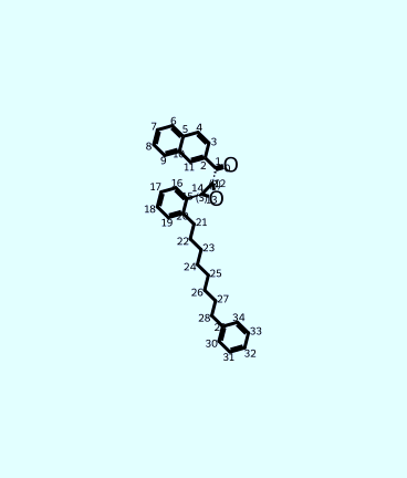 O=C(c1ccc2ccccc2c1)[C@@H]1O[C@H]1c1ccccc1CCCCCCCCc1ccccc1